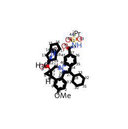 COc1ccc2c(c1)[C@@H]1C[C@]1(C(=O)C1CC34CCCC3(C1)CN(C)C4)Cn1c-2c(C2CCCCC2)c2ccc(C(=O)NS(=O)(=O)C(C)C)cc21